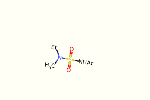 CCN(C)S(=O)(=O)NC(C)=O